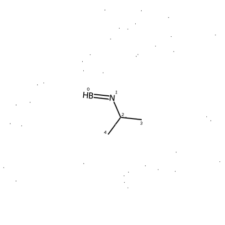 B=NC(C)C